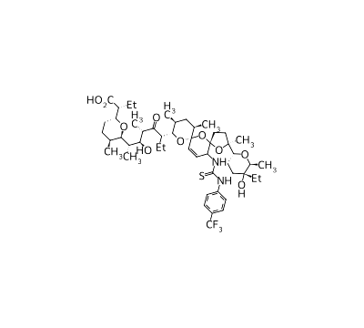 CCC(C(=O)[C@@H](C)[C@@H](O)[C@H](C)[C@@H]1O[C@@H]([C@@H](CC)C(=O)O)CC[C@@H]1C)[C@H]1O[C@]2(C=CC(NC(=S)Nc3ccc(C(F)(F)F)cc3)[C@]3(CC[C@@](C)([C@H]4CC[C@](O)(CC)[C@H](C)O4)O3)O2)[C@H](C)C[C@@H]1C